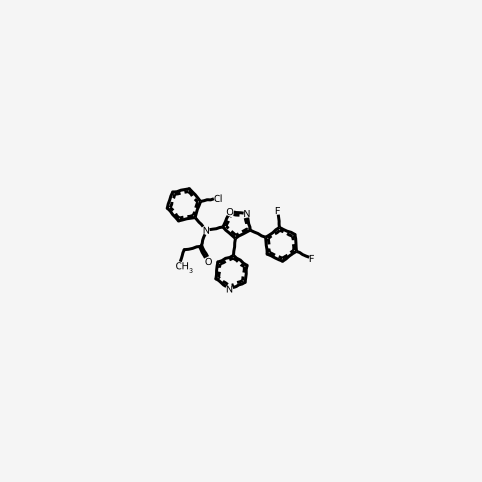 CCC(=O)N(c1ccccc1Cl)c1onc(-c2ccc(F)cc2F)c1-c1ccncc1